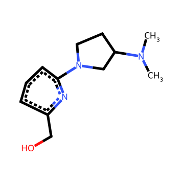 CN(C)C1CCN(c2cccc(CO)n2)C1